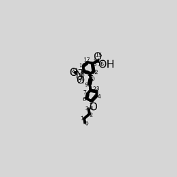 CCCCOc1ccc(C#Cc2cc(C(=O)O)ccc2[N+](=O)[O-])cc1